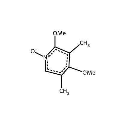 COc1c(C)[c][n+]([O-])c(OC)c1C